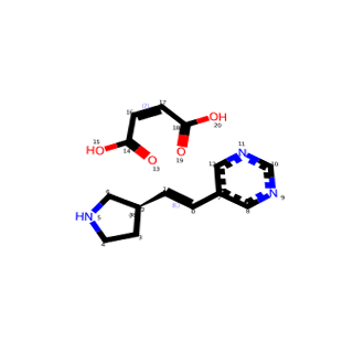 C(=C\[C@H]1CCNC1)/c1cncnc1.O=C(O)/C=C\C(=O)O